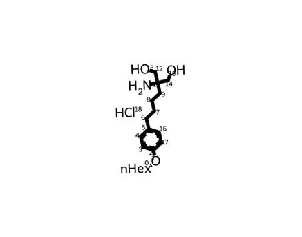 CCCCCCOc1ccc(CCCCC(N)(CO)CO)cc1.Cl